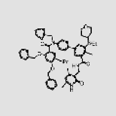 CCN(c1cc(-c2ccc(N(Cc3ccccc3)C(=O)c3cc(C(C)C)c(OCc4ccccc4)cc3OCc3ccccc3)cc2)cc(C(=O)NCc2c(C)cc(C)[nH]c2=O)c1C)C1CCOCC1